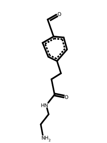 NCCNC(=O)CCc1ccc(C=O)cc1